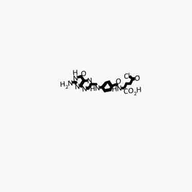 Nc1nc2ncc(CNc3ccc(C(=O)NC(CCC(=O)Cl)C(=O)O)cc3)nc2c(=O)[nH]1